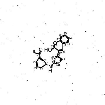 CC(=O)C1=C[C@H](Nc2nc(C3=Cc4ccccc4OC3O)cs2)CC=C1